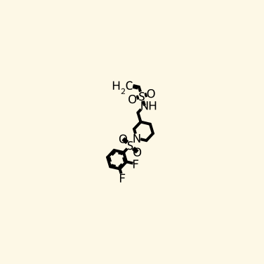 C=CS(=O)(=O)NCC1CCCN(S(=O)(=O)c2cccc(F)c2F)C1